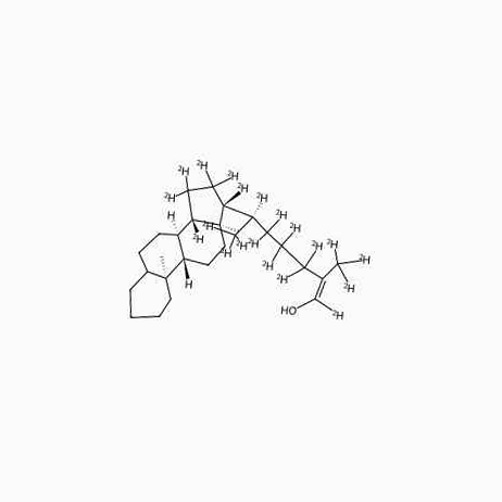 [2H]C(O)=C(C([2H])([2H])[2H])C([2H])([2H])C([2H])([2H])C([2H])([2H])[C@@]([2H])(C([2H])([2H])[2H])[C@@]1([2H])C([2H])([2H])C([2H])([2H])[C@@]2([2H])[C@@H]3CCC4CCCC[C@]4(C)[C@H]3CC[C@]12C